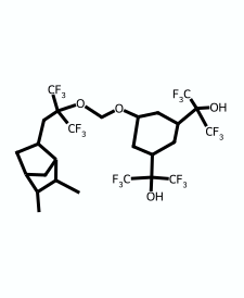 CC1C2CC(CC(OCOC3CC(C(O)(C(F)(F)F)C(F)(F)F)CC(C(O)(C(F)(F)F)C(F)(F)F)C3)(C(F)(F)F)C(F)(F)F)C(C2)C1C